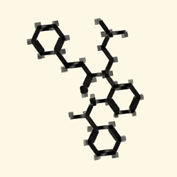 CC(Sc1ccccc1N(CCN(C)C)C(=O)C=Cc1ccccc1)c1ccccc1